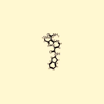 CSCc1nn2c(C(=O)NC3Cc4ccccc4C3)ccnc2c1C(N)=O